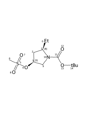 CC[C@@H]1C[C@H](OS(C)(=O)=O)CN1C(=O)OC(C)(C)C